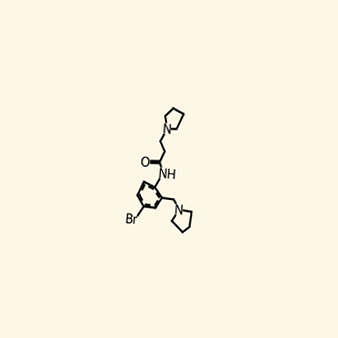 O=C(CCN1CCCC1)Nc1ccc(Br)cc1CN1CCCC1